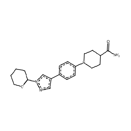 NC(=O)C1CCN(c2ccc(-c3cnn(C4CCCCO4)c3)cc2)CC1